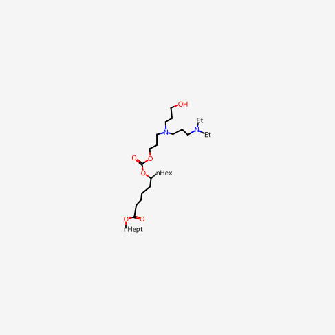 CCCCCCCOC(=O)CCCCC(CCCCCC)OC(=O)OCCCN(CCCO)CCCN(CC)CC